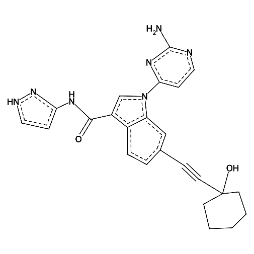 Nc1nccc(-n2cc(C(=O)Nc3cc[nH]n3)c3ccc(C#CC4(O)CCCCC4)cc32)n1